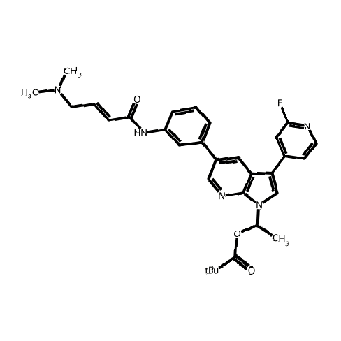 CC(OC(=O)C(C)(C)C)n1cc(-c2ccnc(F)c2)c2cc(-c3cccc(NC(=O)C=CCN(C)C)c3)cnc21